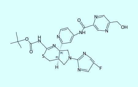 CC(C)(C)OC(=O)NC1=N[C@@]2(c3cc(NC(=O)c4cnc(CO)cn4)ccn3)CN(c3ncc(F)cn3)C[C@H]2CS1